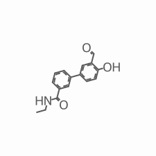 CCNC(=O)c1cccc(-c2ccc(O)c(C=O)c2)c1